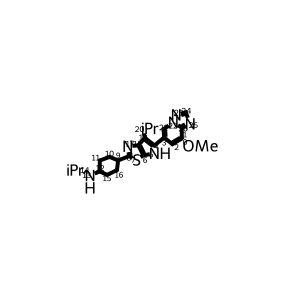 COc1cc(-c2[nH]c3sc(C4CCC(NC(C)C)CC4)nc3c2C(C)C)cn2ncnc12